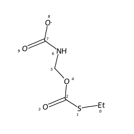 CCSC(=O)OCNC([O])=O